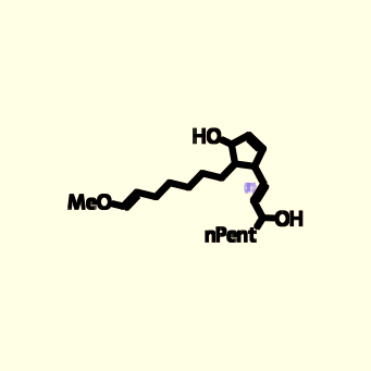 CCCCCC(O)/C=C/C1C=CC(O)C1CCCCCC=COC